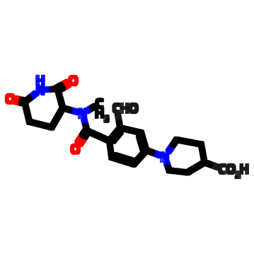 CN(C(=O)c1ccc(N2CCC(C(=O)O)CC2)cc1C=O)C1CCC(=O)NC1=O